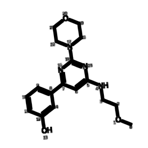 COCCNc1cc(-c2cccc(O)c2)nc(N2CCOCC2)n1